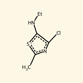 CCNc1sc(C)nc1Cl